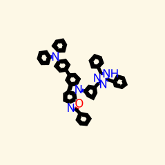 c1ccc(C2=NC(c3cccc(-n4c5ccc(-c6ccc(N(c7ccccc7)c7ccccc7)cc6)cc5c5ccc6nc(-c7ccccc7)oc6c54)c3)=NC(c3ccccc3)N2)cc1